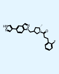 C[C@H]1CC(Cn2ncc3cc(-c4cn[nH]c4)ccc32)CN1C(=O)CCc1ccccc1F